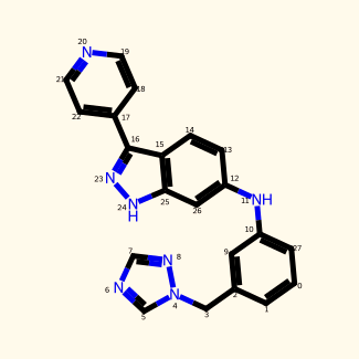 c1cc(Cn2cncn2)cc(Nc2ccc3c(-c4ccncc4)n[nH]c3c2)c1